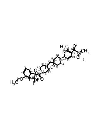 CCOc1cccc(C(O)(C(=O)N2CCC(CC3(C)CCN(c4ccc(C(=O)N(C)C)c(C)n4)CC3)CC2)C(F)(F)F)c1